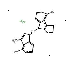 CC1=C[CH]([Zr+2][CH]2C3=C(CCC3)c3c(C(C)C)cccc32)c2cccc(C(C)C)c21.[Cl-].[Cl-]